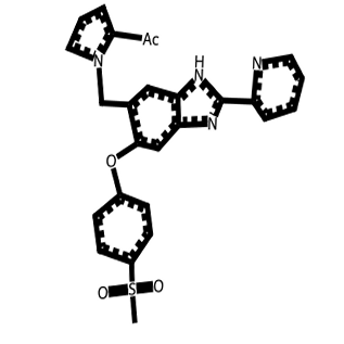 CC(=O)c1cccn1Cc1cc2[nH]c(-c3ccccn3)nc2cc1Oc1ccc(S(C)(=O)=O)cc1